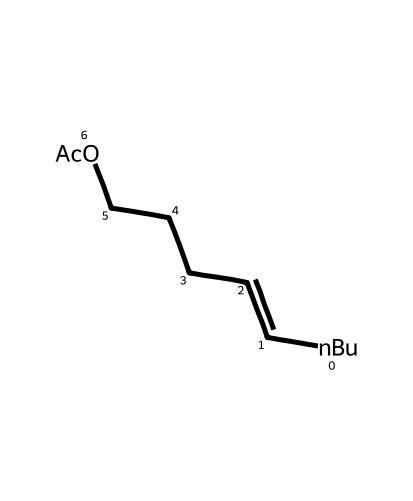 CCCC/C=C/CCCOC(C)=O